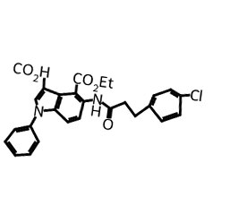 CCOC(=O)c1c(NC(=O)CCc2ccc(Cl)cc2)ccc2c1c(C(=O)O)cn2-c1ccccc1